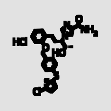 C[C@H](O)[C@@H](CCc1ccccc1OCc1ccc(Sc2ccc(Cl)s2)cc1)n1cnc(C(N)=O)c1.Cl